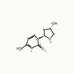 Nc1ccn([C@H]2C[C@H](O)CO2)c(=O)n1